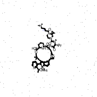 CCn1c(-c2cccnc2[C@H](C)OC)c2c3cc(ccc31)-c1csc(n1)C[C@H](NC(=O)[C@H](C(C)C)N(C)C(=O)N1CCN(C(=O)/C=C/CN(C)C)C3(CC3)C1)C(=O)N1CCC[C@@]([SiH3])(N1)C(=O)OCC(C)(C)C2